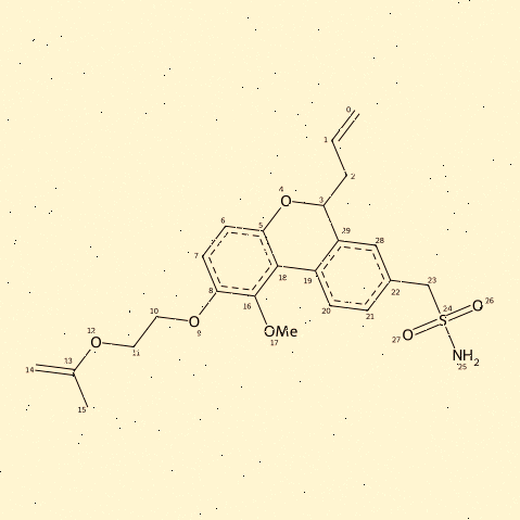 C=CCC1Oc2ccc(OCCOC(=C)C)c(OC)c2-c2ccc(CS(N)(=O)=O)cc21